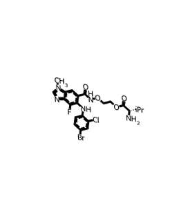 CC(C)[C@H](N)C(=O)OCCONC(=O)c1cc2c(ncn2C)c(F)c1Nc1ccc(Br)cc1Cl